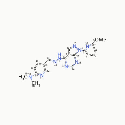 COc1cccc(-n2ncc3c(NN=Cc4ccc(N(C)C)nc4)ncnc32)n1